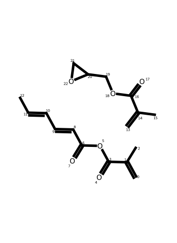 C=C(C)C(=O)OC(=O)C=CC=CC.C=C(C)C(=O)OCC1CO1